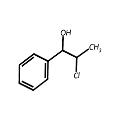 CC(Cl)C(O)c1ccccc1